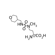 CN(CC[C@H](N)C(=O)O)S(=O)(=O)NCC1CCOCC1